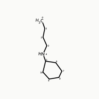 CCCCNC1CCCCC1